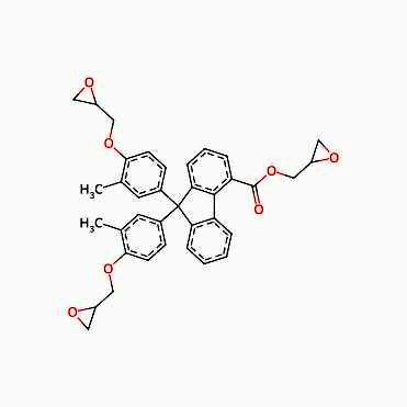 Cc1cc(C2(c3ccc(OCC4CO4)c(C)c3)c3ccccc3-c3c(C(=O)OCC4CO4)cccc32)ccc1OCC1CO1